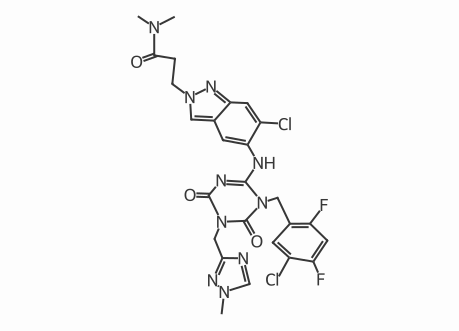 CN(C)C(=O)CCn1cc2cc(Nc3nc(=O)n(Cc4ncn(C)n4)c(=O)n3Cc3cc(Cl)c(F)cc3F)c(Cl)cc2n1